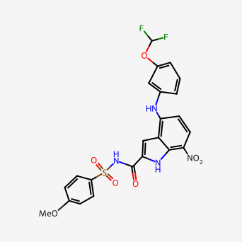 COc1ccc(S(=O)(=O)NC(=O)c2cc3c(Nc4cccc(OC(F)F)c4)ccc([N+](=O)[O-])c3[nH]2)cc1